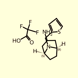 NC1C[C@H]2CC[C@@H](C1)N2Cc1cccs1.O=C(O)C(F)(F)F